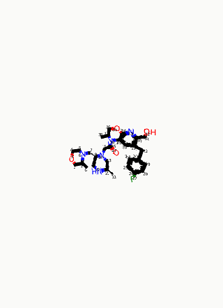 CC1COCCN1C[C@H]1CN[C@H](C)CN1CC(=O)N1c2cc(Cc3ccc(F)cc3)c(CO)nc2OCC1C